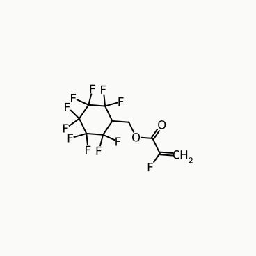 C=C(F)C(=O)OCC1C(F)(F)C(F)(F)C(F)(F)C(F)(F)C1(F)F